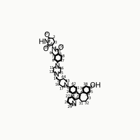 O=C1CC[C@H](N2Cc3cc(N4CCN(CC5CCN(c6ccc(C7=C(c8ccccn8)CCCc8cc(O)ccc87)cc6)CC5)CC4)ccc3C2=O)C(=O)N1